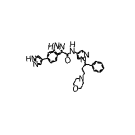 O=C(Nc1cnn(C(CCN2CCOCC2)c2ccccc2)c1)c1n[nH]c2cc(-c3cn[nH]c3)ccc12